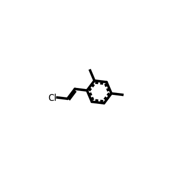 Cc1ccc(C=CCl)c(C)c1